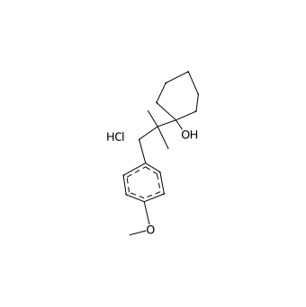 COc1ccc(CC(C)(C)C2(O)CCCCC2)cc1.Cl